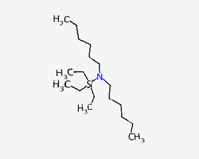 CCCCCCN(CCCCCC)[Si](CC)(CC)CC